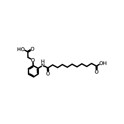 O=C(O)CCCCCCCCCC(=O)Nc1ccccc1OCC(=O)O